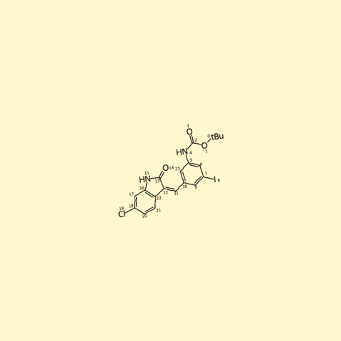 CC(C)(C)OC(=O)Nc1cc(I)cc(C=C2C(=O)Nc3cc(Cl)ccc32)c1